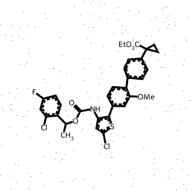 CCOC(=O)C1(c2ccc(-c3ccc(-c4sc(Cl)cc4NC(=O)OC(C)c4ccc(F)cc4Cl)cc3OC)cc2)CC1